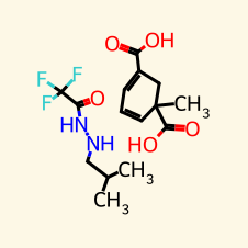 CC(C)CNNC(=O)C(F)(F)F.CC1(C(=O)O)C=CC=C(C(=O)O)C1